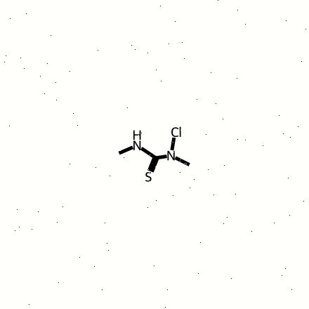 CNC(=S)N(C)Cl